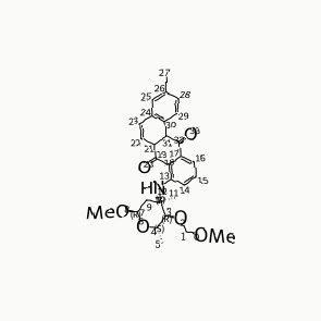 COCO[C@H]1[C@H](C)O[C@@H](OC)C[C@@]1(C)Nc1cccc2c1C(=O)C1C=Cc3cc(C)ccc3C1C2=O